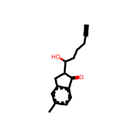 C#CCCCC(O)C1Cc2cc(C)ccc2C1=O